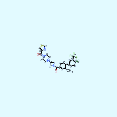 Cc1cc(C(=O)N2CC(N3CCN(C(=O)c4cscn4)CC3)C2)ccc1-c1ccc(Cl)c(C(F)(F)F)c1